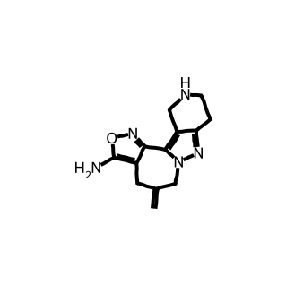 C=C1Cc2c(noc2N)-c2c3c(nn2C1)CCNC3